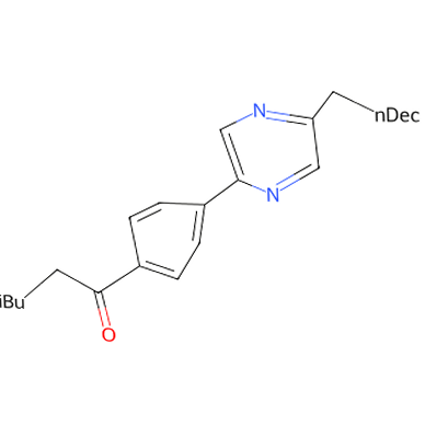 CCCCCCCCCCCc1cnc(-c2ccc(C(=O)CC(C)CC)cc2)cn1